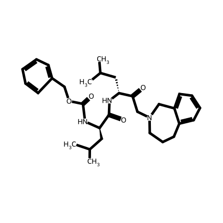 CC(C)C[C@@H](NC(=O)[C@@H](CC(C)C)NC(=O)OCc1ccccc1)C(=O)CN1CCCc2ccccc2C1